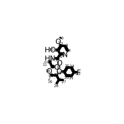 COc1ccnc(C(=O)N[C@@H](C)C(=O)O[C@@H](C)[C@H](Oc2ccc(F)cc2)C(C)C)c1O